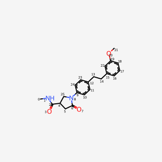 CNC(=O)C1CC(=O)N(c2ccc(CCc3cccc(OC)c3)cc2)C1